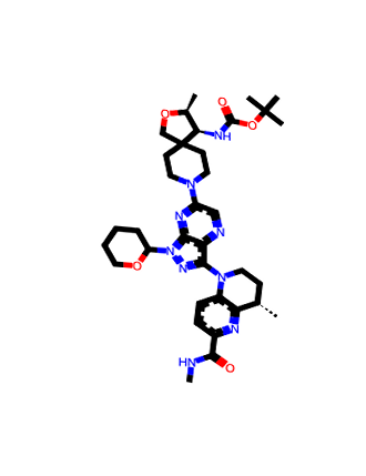 CNC(=O)c1ccc2c(n1)[C@@H](C)CCN2c1nn(C2CCCCO2)c2nc(N3CCC4(CC3)CO[C@@H](C)[C@H]4NC(=O)OC(C)(C)C)cnc12